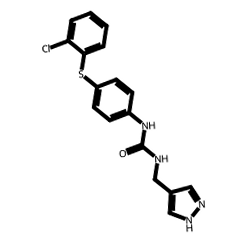 O=C(NCc1cn[nH]c1)Nc1ccc(Sc2ccccc2Cl)cc1